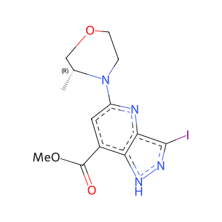 COC(=O)c1cc(N2CCOC[C@H]2C)nc2c(I)n[nH]c12